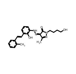 CC1=NN(CCCCO)C(=O)/C1=N\Nc1cccc(/C=C/c2ccccc2C)c1O